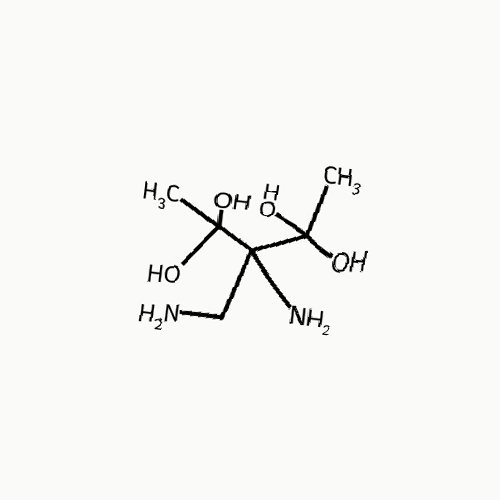 CC(O)(O)C(N)(CN)C(C)(O)O